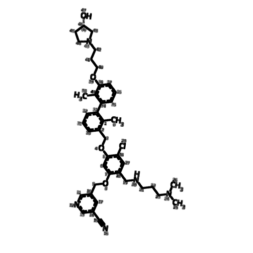 Cc1c(COc2cc(OCc3cncc(C#N)c3)c(CNCCCN(C)C)cc2Cl)cccc1-c1cccc(OCCCN2CC[C@H](O)C2)c1C